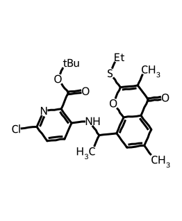 CCSc1oc2c(C(C)Nc3ccc(Cl)nc3C(=O)OC(C)(C)C)cc(C)cc2c(=O)c1C